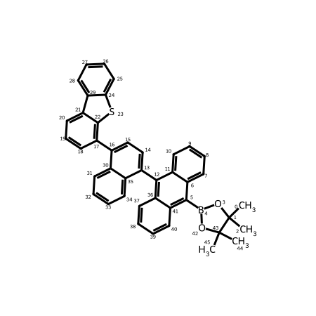 CC1(C)OB(c2c3ccccc3c(-c3ccc(-c4cccc5c4sc4ccccc45)c4ccccc34)c3ccccc23)OC1(C)C